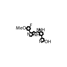 COc1cc(F)cc(-c2nccc3[nH]c(-c4n[nH]c5ccc(-c6cncc(O)c6)cc45)cc23)c1